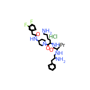 CC(C)CC(NCC(N)Cc1ccccc1)C(=O)NC(CCCCN)C(=O)N1CCC(NC(=O)Cc2ccc(F)c(F)c2)CC1.Cl